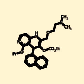 CCOC(=O)OC1=C(COCCN(C)C)Nc2ccnc(OC(C)C)c2C1c1cccc2ccccc12